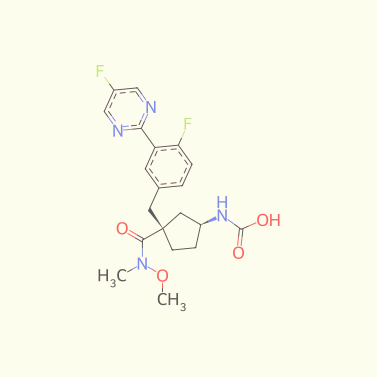 CON(C)C(=O)[C@@]1(Cc2ccc(F)c(-c3ncc(F)cn3)c2)CC[C@H](NC(=O)O)C1